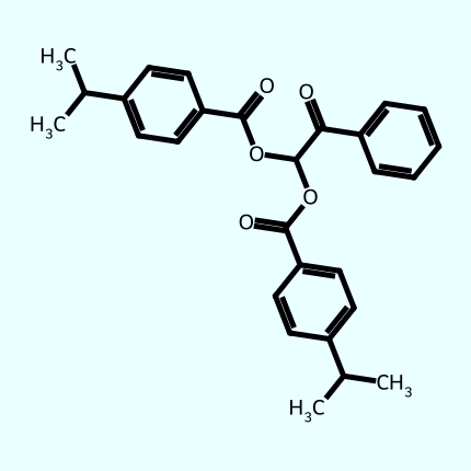 CC(C)c1ccc(C(=O)OC(OC(=O)c2ccc(C(C)C)cc2)C(=O)c2ccccc2)cc1